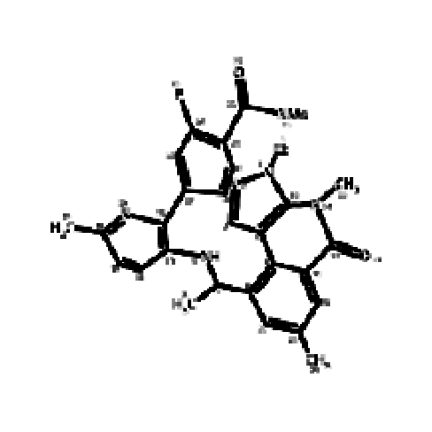 CCn1ncc2c3c(C(C)Nc4ccc(C)nc4-c4ccc(C(=O)NC)c(F)c4)cc(C)cc3c(=O)n(C)c21